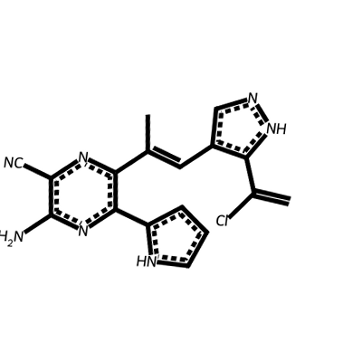 C=C(Cl)c1[nH]ncc1/C=C(\C)c1nc(C#N)c(N)nc1-c1ccc[nH]1